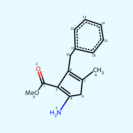 COC(=O)C1=C(N)CC(C)=C1Cc1ccccc1